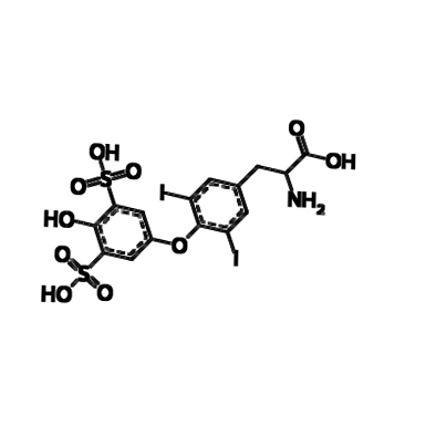 NC(Cc1cc(I)c(Oc2cc(S(=O)(=O)O)c(O)c(S(=O)(=O)O)c2)c(I)c1)C(=O)O